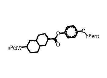 CCCCCOc1ccc(OC(=O)C2CCC3CC(CCCCC)CCC3C2)cc1